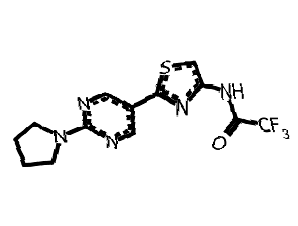 O=C(Nc1csc(-c2cnc(N3CCCC3)nc2)n1)C(F)(F)F